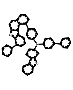 c1ccc(-c2ccc(N(c3ccc(-c4cccc5ccc6oc7c(-c8ccccc8)cccc7c6c45)cc3)c3ccc4c(c3)oc3ccccc34)cc2)cc1